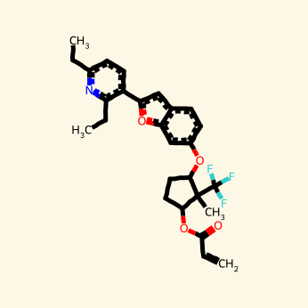 C=CC(=O)OC1CCC(Oc2ccc3cc(-c4ccc(CC)nc4CC)oc3c2)C1(C)C(F)(F)F